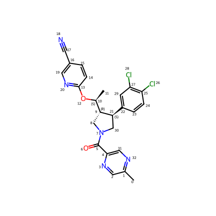 Cc1cnc(C(=O)N2C[C@H]([C@H](C)Oc3ccc(C#N)cn3)[C@@H](c3ccc(Cl)c(Cl)c3)C2)cn1